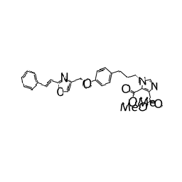 COC(=O)c1ncn(CCCc2ccc(OCc3coc(/C=C/c4ccccc4)n3)cc2)c1C(=O)OC